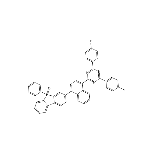 O=P1(c2ccccc2)c2ccccc2-c2ccc(-c3ccc(-c4nc(-c5ccc(F)cc5)nc(-c5ccc(F)cc5)n4)c4ccccc34)cc21